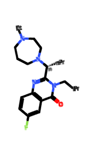 CCC[C@H](c1nc2ccc(F)cc2c(=O)n1CC(C)C)N1CCCN(CC)CC1